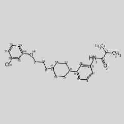 CC(C)C(=O)Nc1cccc(C2CCN(CCCOc3cccc(Cl)c3)CC2)c1